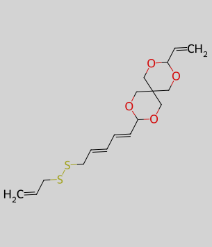 C=CCSSC/C=C/C=C/C1OCC2(COC(C=C)OC2)CO1